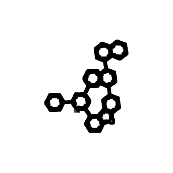 c1ccc(-c2cc(-c3ccccc3)nc(-c3cccc4oc5ccc(-c6ccc(-c7cccc8ccccc78)cc6)cc5c34)c2)cc1